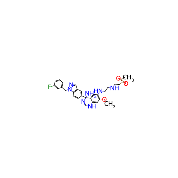 COc1cc2c(cc1NCCNCCS(C)(=O)=O)C(N)(c1ccc3c(cnn3Cc3cccc(F)c3)c1)N=CN2